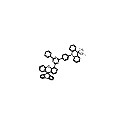 CC1(C)c2ccccc2N(c2ccc(-c3nc(-c4ccccc4)nc(-c4cccc5c4Sc4ccccc4C54c5ccccc5-c5ccccc54)n3)cc2)c2ccccc21